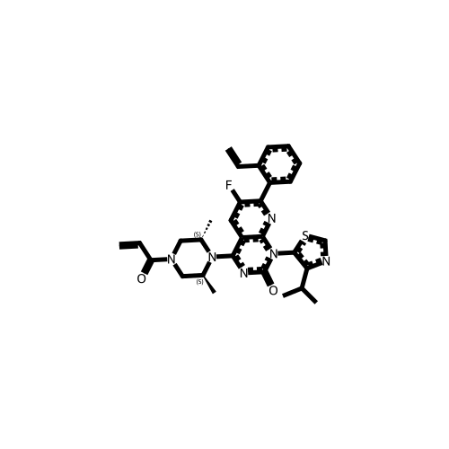 C=CC(=O)N1C[C@H](C)N(c2nc(=O)n(-c3scnc3C(C)C)c3nc(-c4ccccc4C=C)c(F)cc23)[C@@H](C)C1